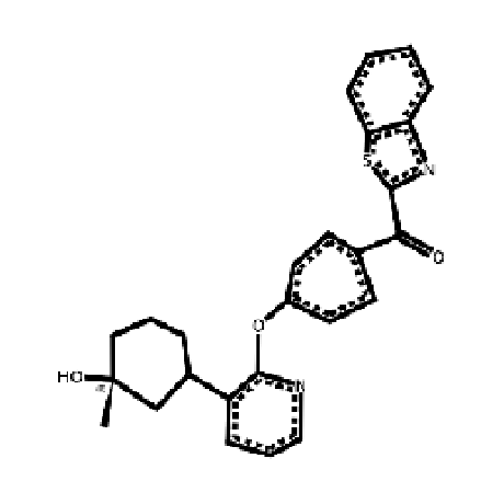 C[C@@]1(O)CCCC(c2cccnc2Oc2ccc(C(=O)c3nc4ccccc4s3)cc2)C1